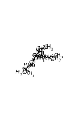 C=C(C)C(=O)OCCNC(=O)OCCOC(=O)C(C)(CC(C)(CC)C(=O)OCCCC)SCC(=O)OCCCCCC(C)C